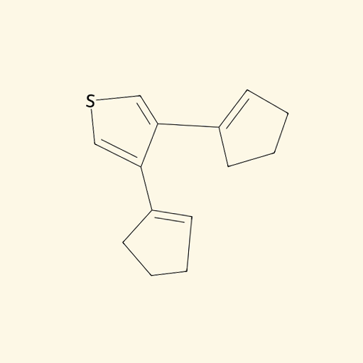 C1=C(c2cscc2C2=CCCC2)CCC1